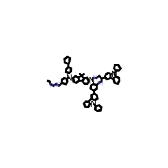 C=C/C=C\C=C\c1ccc(N(c2ccc(C3C=CC=CC3)cc2)c2ccc3c(c2)C(C)(C)c2cc(N4/C=C/CC(C5=CC6c7ccccc7N(C7=CC=CCC7)C6C=C5)/C=C/c5cc(C6C=c7c(n(-c8ccccc8)c8ccccc78)=CC6)ccc54)ccc2-3)cc1